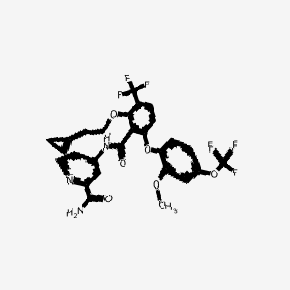 COc1cc(OC(F)(F)F)ccc1Oc1ccc(C(F)(F)F)c(OCCC2CC2)c1C(=O)Nc1ccnc(C(N)=O)c1